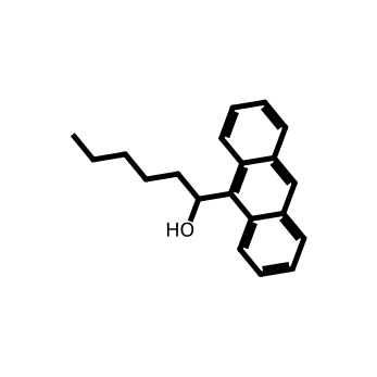 CCCCCC(O)c1c2ccccc2cc2ccccc12